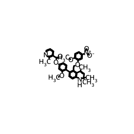 COc1ccc([N+](=O)[O-])cc1OCc1c(-c2ccc(OC(=O)c3cccnc3C)cc2OC)ccc2c1C(C)=CC(C)(C)N2